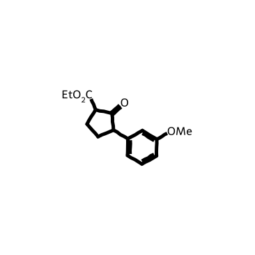 CCOC(=O)C1CCC(c2cccc(OC)c2)C1=O